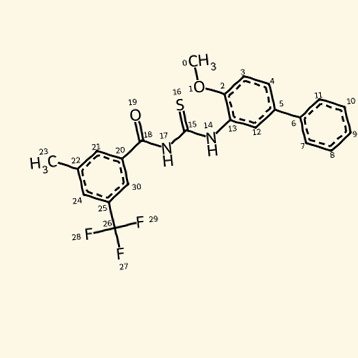 COc1ccc(-c2ccccc2)cc1NC(=S)NC(=O)c1cc(C)cc(C(F)(F)F)c1